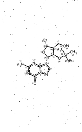 CC[C@H]1O[C@@H](n2cnc3c(=O)[nH]c(N)nc32)[C@H](O[Si](C)(C)C(C)(C)C)[C@@H]1CO